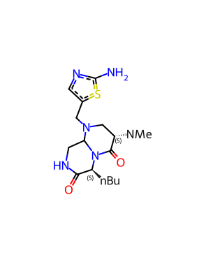 CCCC[C@H]1C(=O)NCC2N(Cc3cnc(N)s3)C[C@H](NC)C(=O)N21